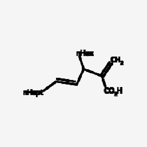 C=C(C(=O)O)C(C=CCCCCCCC)CCCCCC